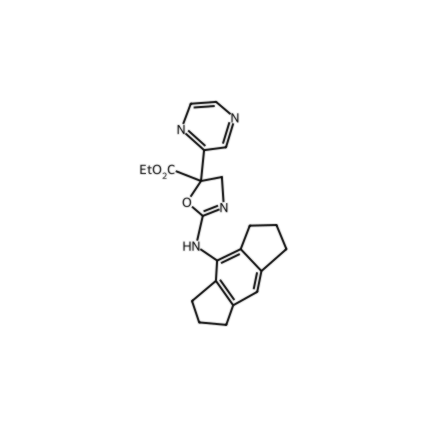 CCOC(=O)C1(c2cnccn2)CN=C(Nc2c3c(cc4c2CCC4)CCC3)O1